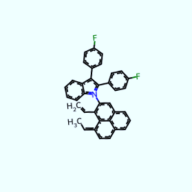 C=Cc1c(-n2c(-c3ccc(F)cc3)c(-c3ccc(F)cc3)c3ccccc32)cc2cccc3cc/c(=C/C)c1c32